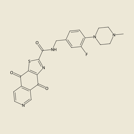 CN1CCN(c2ccc(CNC(=O)c3nc4c(s3)C(=O)c3ccncc3C4=O)cc2F)CC1